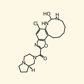 O=C(c1nc2cc(Cl)c3c(c2o1)CCCCCNC(O)N3)N1CCN2CCC[C@H]2C1